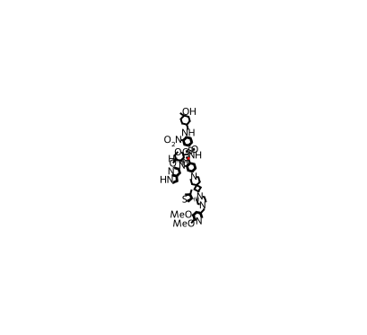 COc1cc(CN2CCN(C3CC4(CCN(c5ccc(C(=O)NS(=O)(=O)c6ccc(NCC7CCC(C)(O)CC7)c([N+](=O)[O-])c6)c(N6c7cc8cc[nH]c8nc7O[C@H]7COCC[C@@H]76)c5)CC4)C3)[C@@H](c3cscc3C)C2)cnc1OC